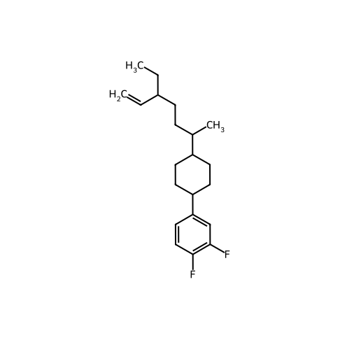 C=CC(CC)CCC(C)C1CCC(c2ccc(F)c(F)c2)CC1